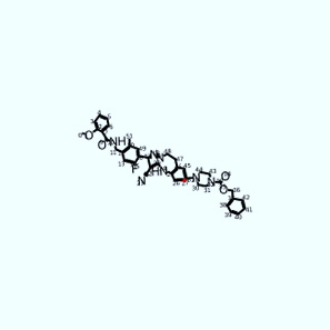 COc1ccccc1C(=O)NCc1cc(F)c(-c2nn3c(c2C#N)Nc2ccc(N4CCN(C(=O)OCc5ccccc5)CC4)cc2CC3)cc1C